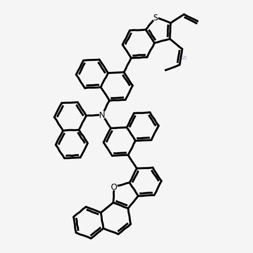 C=Cc1sc2ccc(-c3ccc(N(c4cccc5ccccc45)c4ccc(-c5cccc6c5oc5c7ccccc7ccc65)c5ccccc45)c4ccccc34)cc2c1/C=C\C